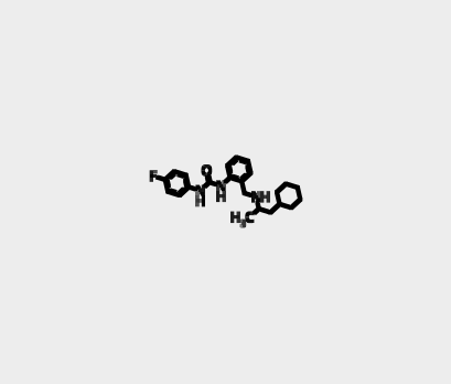 CC(CC1CCCCC1)NCc1ccccc1NC(=O)Nc1ccc(F)cc1